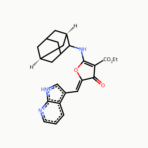 CCOC(=O)C1=C(NC2C3CC4C[C@H](C3)C[C@H]2C4)O/C(=C\c2c[nH]c3ncccc23)C1=O